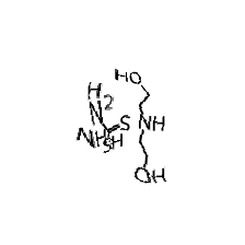 N.NC(=S)S.OCCNCCO